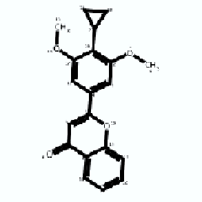 COc1cc(-c2cc(=O)c3ccccc3o2)cc(OC)c1C1CC1